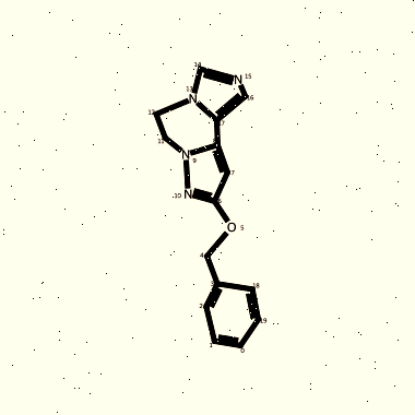 c1ccc(COc2cc3n(n2)CCn2cncc2-3)cc1